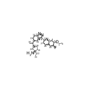 CCOc1cc2nc(-c3nnc4ccc([C@H](C)N5CCC(N)(CC)C5)cn34)ccc2cc1F